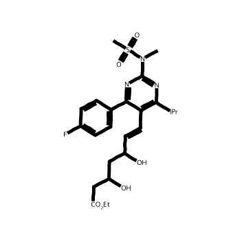 CCOC(=O)CC(O)CC(O)/C=C/c1c(-c2ccc(F)cc2)nc(N(C)S(C)(=O)=O)nc1C(C)C